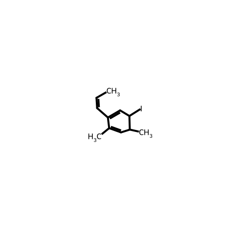 C/C=C\C1=CC(I)C(C)C=C1C